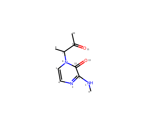 CNc1nccn(C(C)C(C)=O)c1=O